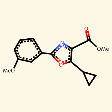 COC(=O)c1nc(-c2cccc(OC)c2)oc1C1CC1